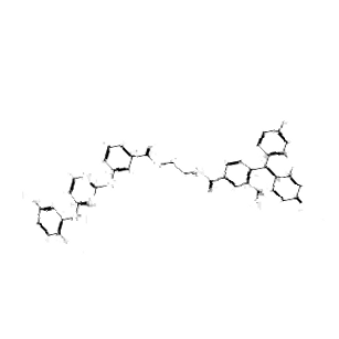 C=c1ccc2c(c1)Oc1cc(O)ccc1C=2c1ccc(C(=O)NCCNC(=O)c2cccc(Nc3nccc(Nc4cc(O)ccc4C)n3)c2)cc1C(=O)O